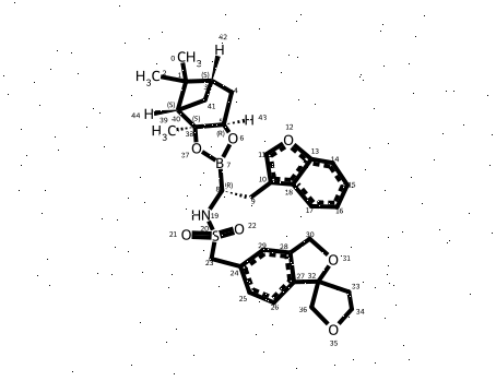 CC1(C)[C@@H]2C[C@H]3OB([C@H](Cc4coc5ccccc45)NS(=O)(=O)Cc4ccc5c(c4)COC54CCOC4)O[C@@]3(C)[C@H]1C2